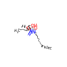 CC=CC=CC(=O)N[C@H](C(=O)NCCCCCCCCCCCCCCCCCC)[C@@H](C)O